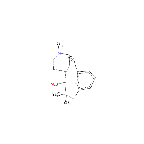 C#Cc1cccc2c1C(O)(C1CCN(C)CC1)C(C)(C)C2